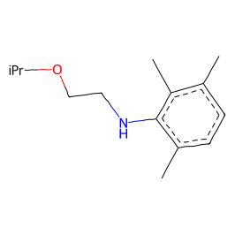 Cc1ccc(C)c(NCCOC(C)C)c1C